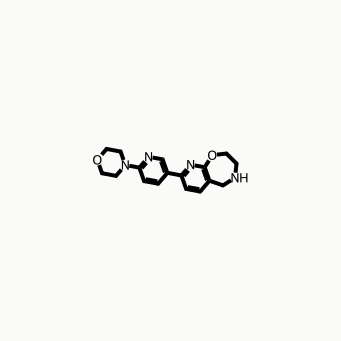 c1cc(N2CCOCC2)ncc1-c1ccc2c(n1)OCCNC2